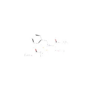 COC(=O)[C@H](CO)N(Cc1ccccc1)S(=O)(=O)NC(=O)OC(C)(C)C